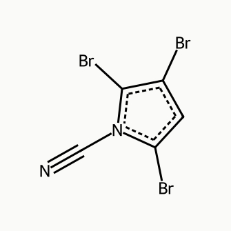 N#Cn1c(Br)cc(Br)c1Br